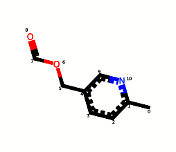 Cc1ccc(COC=O)cn1